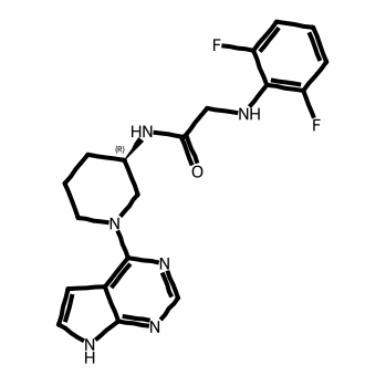 O=C(CNc1c(F)cccc1F)N[C@@H]1CCCN(c2ncnc3[nH]ccc23)C1